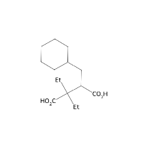 CCC(CC)(C(=O)O)C(CC1CCCCC1)C(=O)O